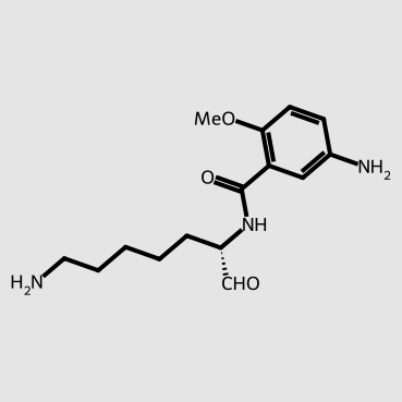 COc1ccc(N)cc1C(=O)N[C@H](C=O)CCCCCN